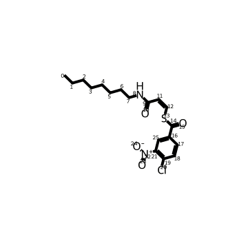 CCCCCCCCNC(=O)/C=C\SC(=O)c1ccc(Cl)c([N+](=O)[O-])c1